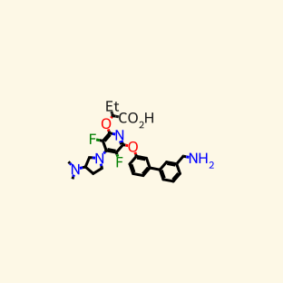 CCC(Oc1nc(Oc2cccc(-c3cccc(CN)c3)c2)c(F)c(N2CCC(N(C)C)C2)c1F)C(=O)O